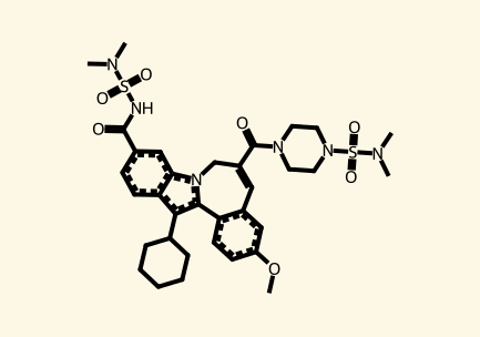 COc1ccc2c(c1)C=C(C(=O)N1CCN(S(=O)(=O)N(C)C)CC1)Cn1c-2c(C2CCCCC2)c2ccc(C(=O)NS(=O)(=O)N(C)C)cc21